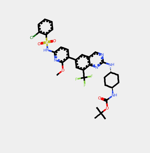 COc1nc(NS(=O)(=O)c2ccccc2Cl)ccc1-c1cc(C(F)(F)F)c2nc(N[C@H]3CC[C@H](NC(=O)OC(C)(C)C)CC3)ncc2c1